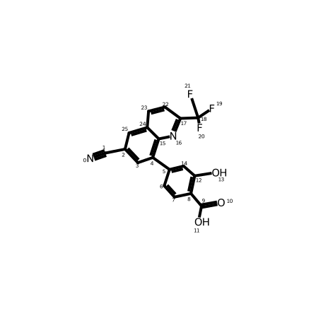 N#Cc1cc(-c2ccc(C(=O)O)c(O)c2)c2nc(C(F)(F)F)ccc2c1